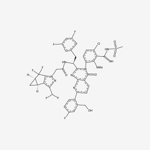 CNc1c(-n2c([C@H](Cc3cc(F)cc(F)c3)NC(=O)Cn3nc(C(F)F)c4c3C(F)(F)[C@@H]3C[C@H]43)nc3nc(-c4ccc(F)cc4CO)ccc3c2=O)ccc(Cl)c1C(=N)NS(C)(=O)=O